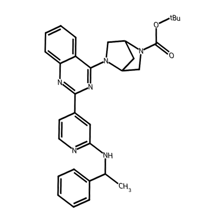 CC(Nc1cc(-c2nc(N3CC4CC3CN4C(=O)OC(C)(C)C)c3ccccc3n2)ccn1)c1ccccc1